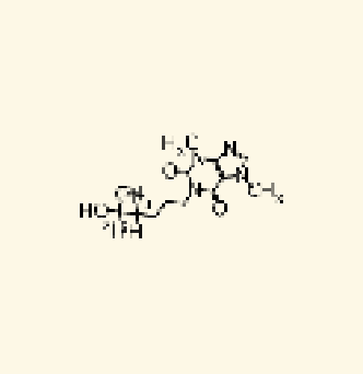 [2H]C(C)(O)C([2H])([2H])CCCn1c(=O)c2c(ncn2C)n(C)c1=O